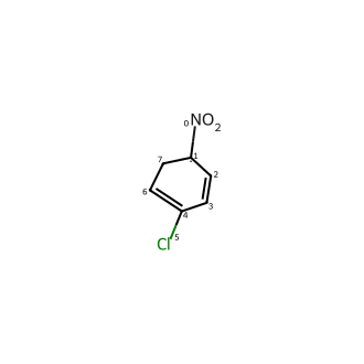 O=[N+]([O-])[C]1C=CC(Cl)=CC1